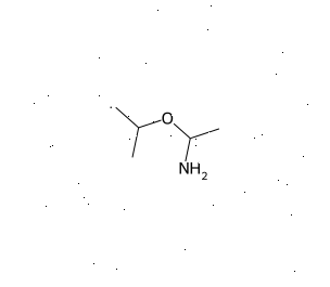 [CH2]C(C)OC(C)N